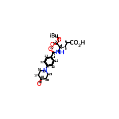 CCC(C)OC(=O)[C@H](CCC(=O)O)NC(=O)c1ccc(N2CCC(=O)CC2)cc1